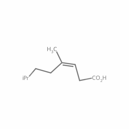 CC(=CCC(=O)O)CCC(C)C